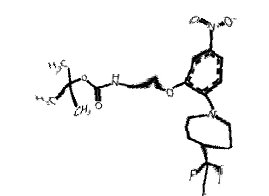 CC(C)(C)OC(=O)NCCOc1cc([N+](=O)[O-])ccc1N1CCC(C(F)(F)F)CC1